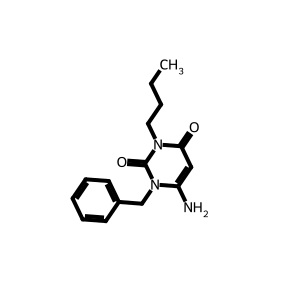 CCCCn1c(=O)cc(N)n(Cc2ccccc2)c1=O